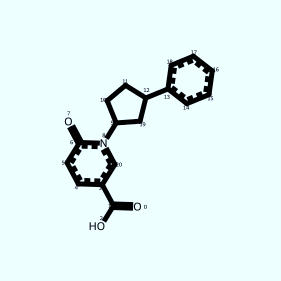 O=C(O)c1ccc(=O)n(C2CCC(c3ccccc3)C2)c1